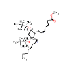 CCCCCC/C=C\[C@@H]1[C@@H](C/C=C\CCCC(=O)OC)[C@@H](O[Si](C)(C)C(C)(C)C)C[C@H]1O[Si](C)(C)C(C)(C)C